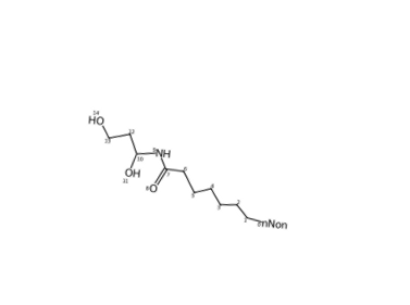 CCCCCCCCCCCCCCCC(=O)NC(O)CCO